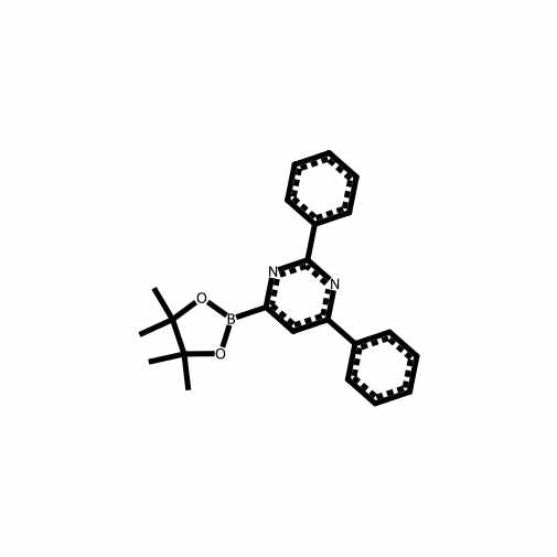 CC1(C)OB(c2cc(-c3ccccc3)nc(-c3ccccc3)n2)OC1(C)C